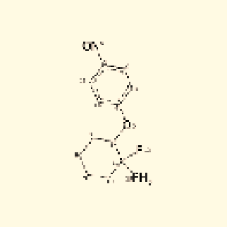 O=Nc1ccc(OC2CCCCC2(F)P)cc1